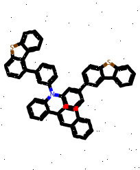 c1cc(-c2ccc3sc4ccccc4c3c2)cc(N(c2cccc(-c3cccc4sc5ccccc5c34)c2)c2ccccc2-c2ccc3ccccc3c2)c1